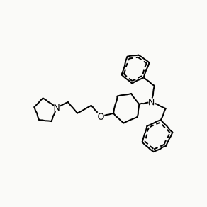 c1ccc(CN(Cc2ccccc2)C2CCC(OCCCN3CCCC3)CC2)cc1